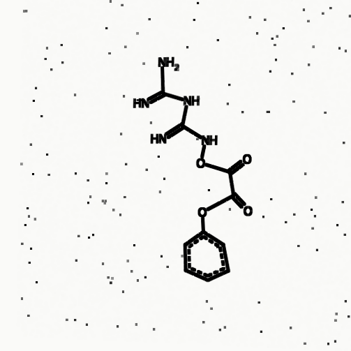 N=C(N)NC(=N)NOC(=O)C(=O)Oc1ccccc1